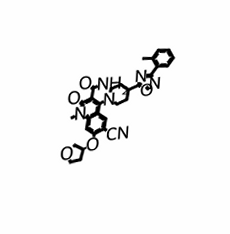 Cc1ccccc1-c1noc(C2CCN(c3c(C(N)=O)c(=O)n(C)c4cc(O[C@H]5CCOC5)c(C#N)cc34)CC2)n1